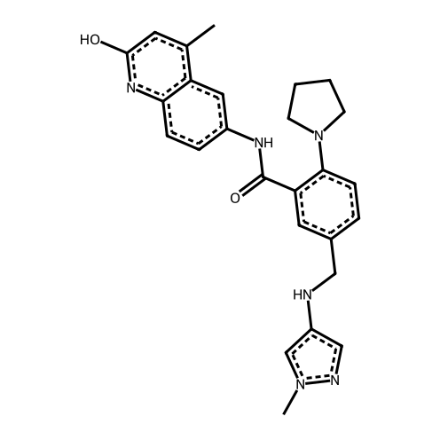 Cc1cc(O)nc2ccc(NC(=O)c3cc(CNc4cnn(C)c4)ccc3N3CCCC3)cc12